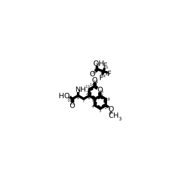 COc1ccc2c(CC(N)C(=O)O)cc(=O)oc2c1.O=C(O)C(F)(F)F